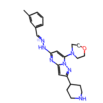 Cc1cccc(/C=N/Nc2cc(N3CCOCC3)n3nc(C4CCNCC4)cc3n2)c1